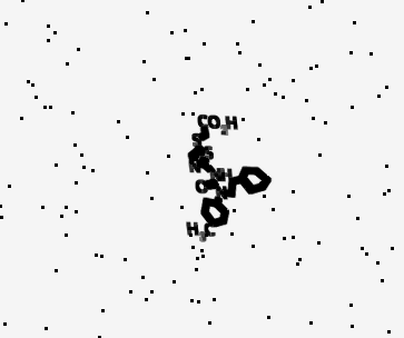 CC1CCC(N(CCC2=CCCCC2)C(=O)Nc2ncc(SCC(=O)O)s2)CC1